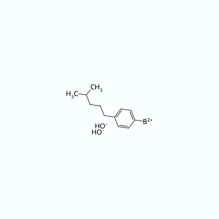 [B+2]c1ccc(CCCC(C)C)cc1.[OH-].[OH-]